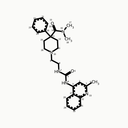 Cc1cc(NC(=O)NCCN2CCC(C(=O)N(C)C)(c3ccccc3)CC2)c2ccccc2n1